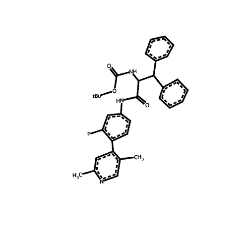 Cc1cc(-c2ccc(NC(=O)C(NC(=O)OC(C)(C)C)C(c3ccccc3)c3ccccc3)cc2F)c(C)cn1